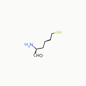 N[C@H]([C]=O)CCCCS